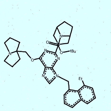 CCc1cccc2cccc(Cn3cnc4c(OCC56CCCN5CCC6)nc(N5CC6CCC(C5)N6C(=O)OC(C)(C)C)nc43)c12